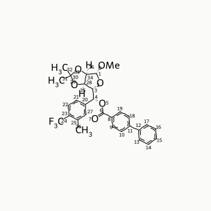 CO[C@@H]1O[C@H]([C@H](OC(=O)c2ccc(-c3ccccc3)cc2)c2ccc(C(F)(F)F)c(C)c2)[C@H]2OC(C)(C)O[C@@H]12